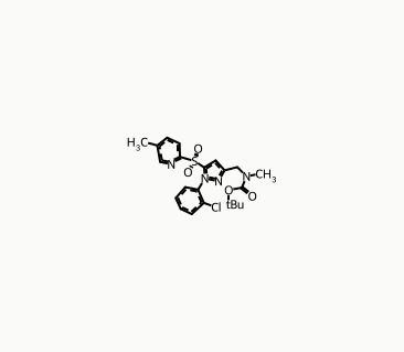 Cc1ccc(S(=O)(=O)c2cc(CN(C)C(=O)OC(C)(C)C)nn2-c2ccccc2Cl)nc1